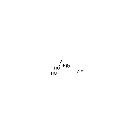 CO.[Al+3].[OH-].[OH-].[OH-]